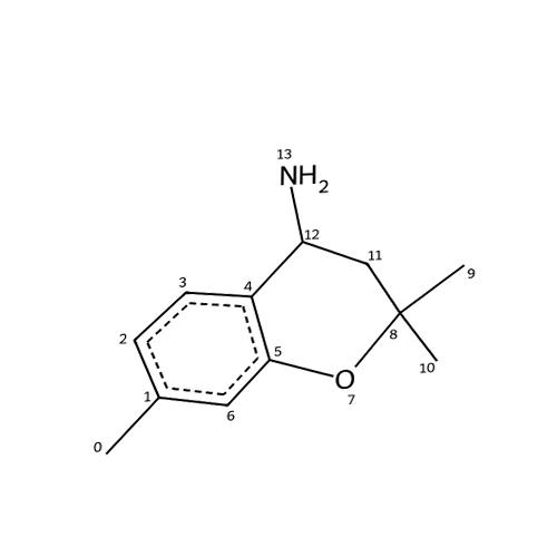 Cc1ccc2c(c1)OC(C)(C)CC2N